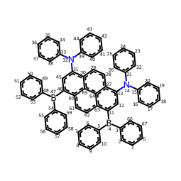 c1ccc(B(c2ccccc2)c2cc(N(c3ccccc3)c3ccccc3)c3ccc4c(N(c5ccccc5)c5ccccc5)cc(B(c5ccccc5)c5ccccc5)c5ccc2c3c54)cc1